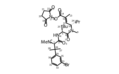 CN[C@@H](C(=O)N[C@H](C(=O)N(C)[C@H](/C=C(\C)C(=O)ON1C(=O)CCC1=O)C(C)C)C(C)(C)C)C(C)(C)c1cccc(Br)c1